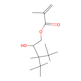 C=C(C)C(=O)OCC(O)C(C)(C(C)(C)C)C(C)(C)C